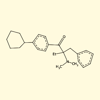 CCC(Cc1ccccc1)(C(=O)c1ccc(C2CCCCC2)cc1)N(C)C